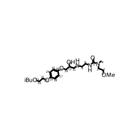 COCCN(C)C(=O)NCCNCC(O)COc1ccc(OCCOCC(C)C)cc1